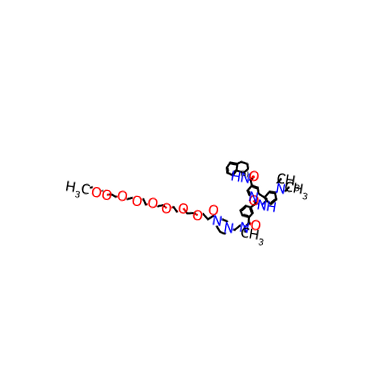 CCOCOCCOCCOCCOCCOCCOCCOCCC(=O)N1CCCN(CCN(C)C(=O)c2cccc(C(=O)Nc3ccc(N(CC)CC)cc3-c3cc(C(=O)N[C@H]4CCCc5ccccc54)ccn3)c2)CC1